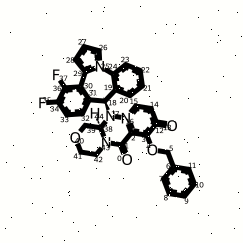 O=C1c2c(OCc3ccccc3)c(=O)ccn2N([C@@H]2c3ccccc3-n3cccc3-c3c2ccc(F)c3F)[C@@H]2COCCN12